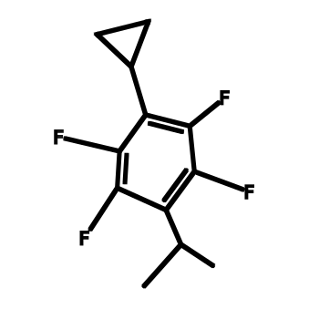 CC(C)c1c(F)c(F)c(C2CC2)c(F)c1F